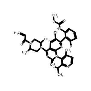 C=CC(=O)N1CC(C)N(c2nc(=O)n(-c3c(C)ccnc3C(C)C)c3nc(-c4c(F)cccc4NC(=O)OC)c(Cl)cc23)CC1C